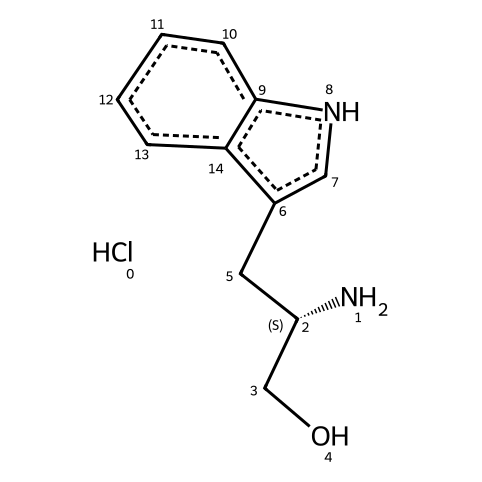 Cl.N[C@H](CO)Cc1c[nH]c2ccccc12